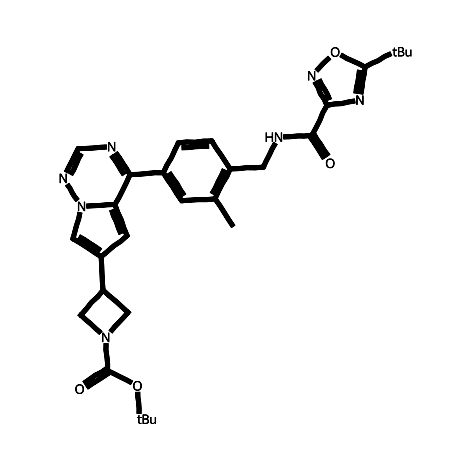 Cc1cc(-c2ncnn3cc(C4CN(C(=O)OC(C)(C)C)C4)cc23)ccc1CNC(=O)c1noc(C(C)(C)C)n1